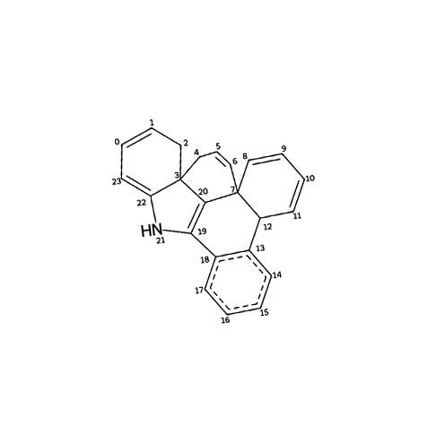 C1=CCC23CC=CC45C=CC=CC4c4ccccc4C(=C25)NC3=C1